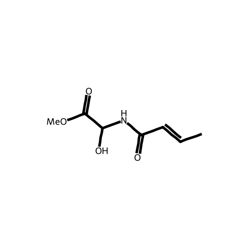 CC=CC(=O)NC(O)C(=O)OC